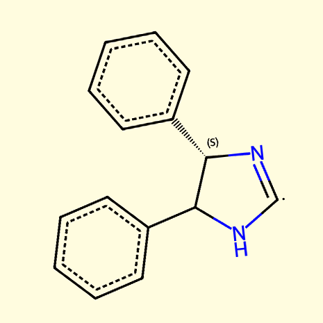 [C]1=N[C@@H](c2ccccc2)C(c2ccccc2)N1